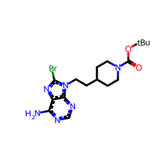 CC(C)(C)OC(=O)N1CCC(CCn2c(Br)nc3c(N)ncnc32)CC1